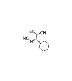 CCC(C#N)C(=NC#N)N1CCCCC1